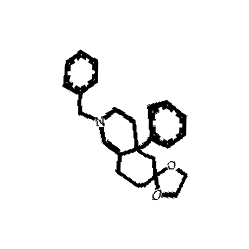 C1=C2CCC3(CC2(c2ccccc2)CCN1Cc1ccccc1)OCCO3